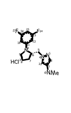 CNc1cnn(C[C@@H]2CCCN2c2cc(F)cc(F)c2)c1.Cl